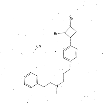 CC#N.CN(CCCc1ccc(C2CC(Br)C2Br)cc1)CCc1ccccc1